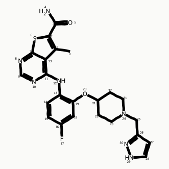 Cc1c(C(N)=O)sc2ncnc(Nc3ccc(F)cc3OC3CCN(Cc4cc[nH]n4)CC3)c12